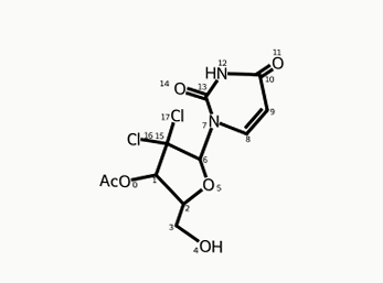 CC(=O)OC1C(CO)OC(n2ccc(=O)[nH]c2=O)C1(Cl)Cl